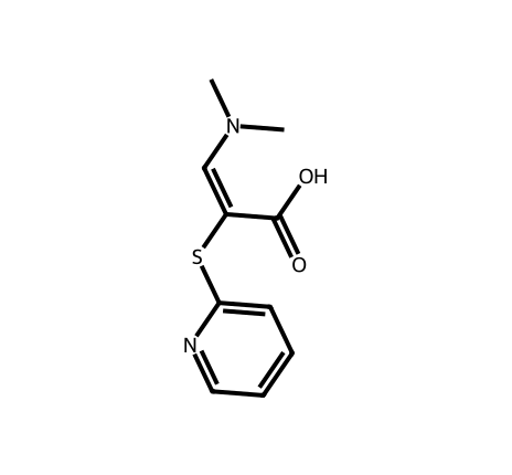 CN(C)C=C(Sc1ccccn1)C(=O)O